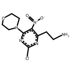 NCCc1nc(Cl)nc(N2CCOCC2)c1[N+](=O)[O-]